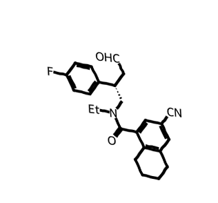 CCN(C[C@@H](CC=O)c1ccc(F)cc1)C(=O)c1cc(C#N)cc2c1CCCC2